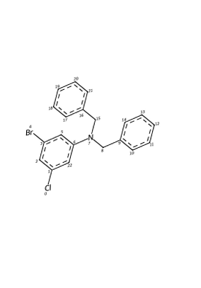 Clc1cc(Br)cc(N(Cc2ccccc2)Cc2ccccc2)c1